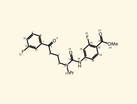 CCCN(CCCC(=O)c1cccc(F)c1)C(=O)Nc1ccc(C(=O)OC)c(F)c1